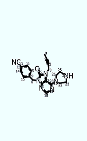 CC#CCn1c(=O)n(Cc2ccc(C#N)cc2)c2ncnc(N3CCNCC3)c21